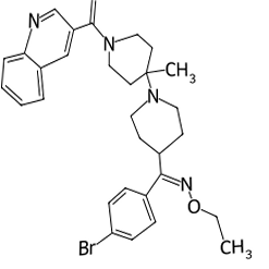 CCON=C(c1ccc(Br)cc1)C1CCN(C2(C)CCN(C(=O)c3cnc4ccccc4c3)CC2)CC1